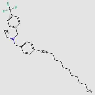 CCCCCCCCCCC#Cc1ccc(C[N+](CC)Cc2ccc(C(F)(F)F)cc2)cc1